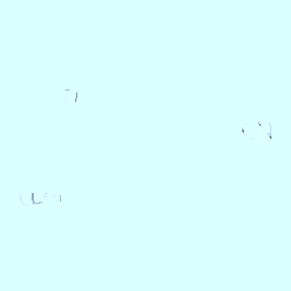 C[C](C)c1cc(C#N)ccc1C(C)(C)C